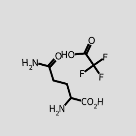 NC(=O)CCC(N)C(=O)O.O=C(O)C(F)(F)F